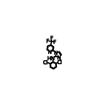 CN1C=CN(c2cc(C(F)(F)F)ccn2)C1Nc1c(Cl)cccc1Cl